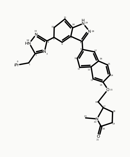 CC(C)Cc1nc(C2C=c3c(-c4ccc5cc(OCC6CCC(=O)N6C)ccc5c4)n[nH]c3=CC2)n[nH]1